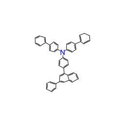 C1=CC(c2ccc(N(c3ccc(-c4ccccc4)cc3)c3ccc(-c4cc(-c5ccccc5)cc5ccccc45)cc3)cc2)=CCC1